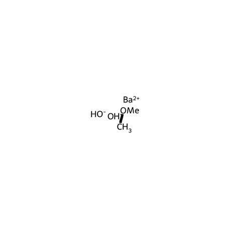 COC.[Ba+2].[OH-].[OH-]